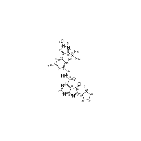 Cn1cc(-c2cc(F)cc(CNC(=O)c3ncnc4nc(C5CCCC5)n(C)c34)c2)c(C(F)(F)F)n1